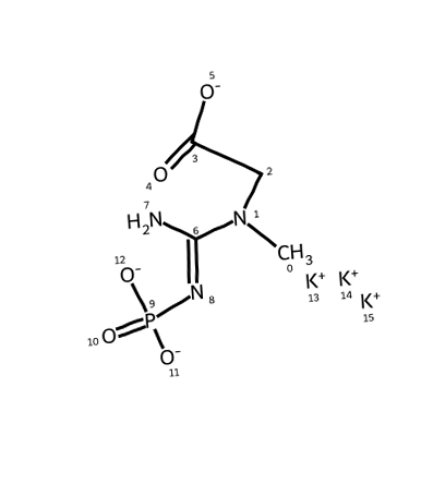 CN(CC(=O)[O-])C(N)=NP(=O)([O-])[O-].[K+].[K+].[K+]